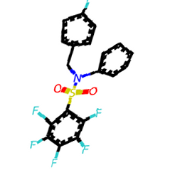 O=S(=O)(c1c(F)c(F)c(F)c(F)c1F)N(Cc1ccc(F)cc1)c1ccccc1